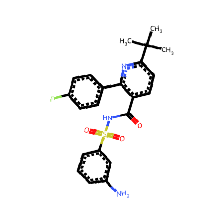 CC(C)(C)c1ccc(C(=O)NS(=O)(=O)c2cccc(N)c2)c(-c2ccc(F)cc2)n1